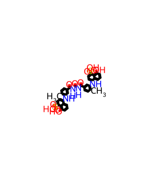 Cc1ccc(C(=O)NC(=O)NC(=O)c2ccc(C)c(Nc3ccc(S(=O)(=O)O)c4c(O)cccc34)c2)cc1Nc1ccc(S(=O)(=O)O)c2c(O)cccc12